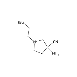 CC(C)(C)CCN1CCC(N)(C#N)C1